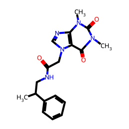 CC(CNC(=O)Cn1cnc2c1c(=O)n(C)c(=O)n2C)c1ccccc1